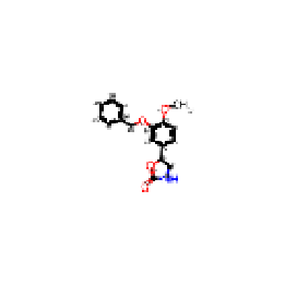 COc1ccc(C2CNC(=O)O2)cc1OCc1ccccc1